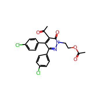 CC(=O)OCCn1nc(-c2ccc(Cl)cc2)c(-c2ccc(Cl)cc2)c(C(C)=O)c1=O